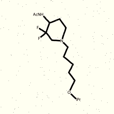 CC(=O)NC1CCN(CCCCCOC(C)C)CC1(F)F